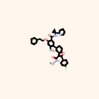 CNC(=O)c1c(-c2ccc(F)cc2)oc2ccc(-c3cc(C(=O)NC4(c5ccccn5)CC4)c(OCCc4ccccc4)cc3C)cc12